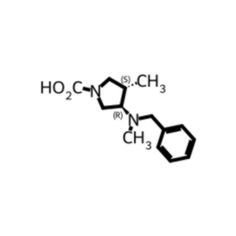 C[C@H]1CN(C(=O)O)C[C@@H]1N(C)Cc1ccccc1